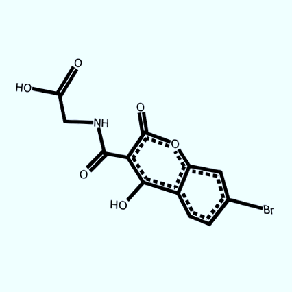 O=C(O)CNC(=O)c1c(O)c2ccc(Br)cc2oc1=O